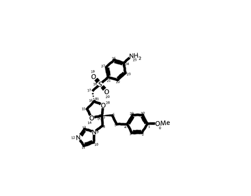 COc1ccc(CC[C@@]2(Cn3ccnc3)OC[C@H](CS(=O)(=O)c3ccc(N)cc3)O2)cc1